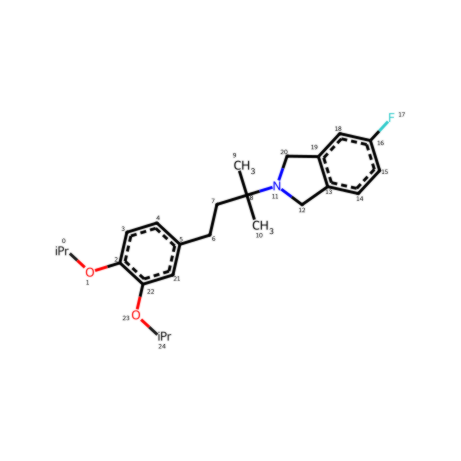 CC(C)Oc1ccc(CCC(C)(C)N2Cc3ccc(F)cc3C2)cc1OC(C)C